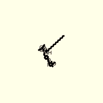 CCCCCCCCCCCCCCCC(=O)N[C@@H](CCP(=O)(OCC)OCC)Cc1ccc(OCc2ncc(C)c(OC)c2C)cc1